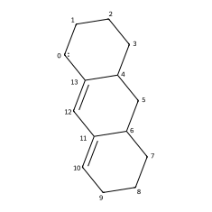 [C]1CCCC2CC3CCCC=C3C=C12